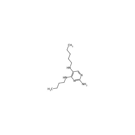 CCCCCNc1cnc(N)nc1NCCCC